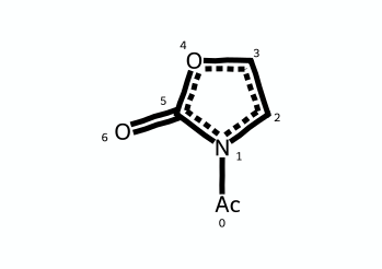 CC(=O)n1ccoc1=O